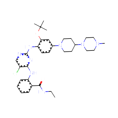 CCNC(=O)c1ccccc1Nc1nc(Nc2ccc(N3CCC(N4CCN(C)CC4)CC3)cc2OC(C)(C)C)ncc1Cl